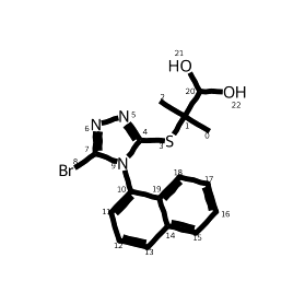 CC(C)(Sc1nnc(Br)n1-c1cccc2ccccc12)C(O)O